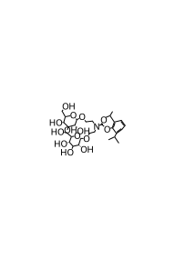 CC(C)c1cccc(C(C)C)c1OC(=O)N(CCOC1OC(CO)[C@@H](O)C(O)[C@H]1O)CCOC1OC(CO)[C@@H](O)C(O)[C@H]1O